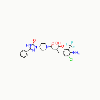 Nc1c(Cl)cc(C[C@@H](CC(=O)N2CCC(n3nc(-c4ccccc4)[nH]c3=O)CC2)C(=O)O)cc1C(F)(F)F